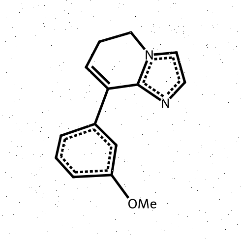 COc1cccc(C2=CCCn3ccnc32)c1